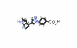 O=C(O)c1ccc(-n2cc(-c3ccnc4[nH]ccc34)cn2)cc1